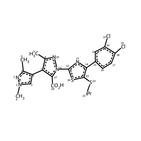 Cc1nn(C)cc1-c1c(C)nn(-c2nc(-c3ccc(Cl)c(Cl)c3)c(SC(C)C)s2)c1C(=O)O